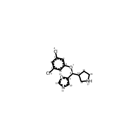 Clc1cc(Cl)cc(O[C@H](c2cnco2)C2CCNC2)c1